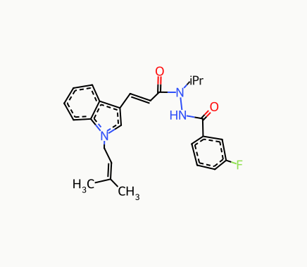 CC(C)=CCn1cc(C=CC(=O)N(NC(=O)c2cccc(F)c2)C(C)C)c2ccccc21